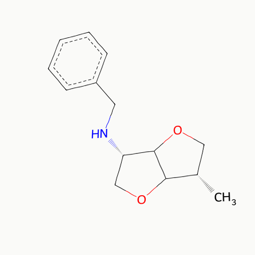 C[C@H]1COC2C1OC[C@@H]2NCc1ccccc1